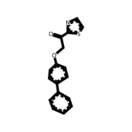 O=C(COc1ccc(-c2ccccc2)cc1)c1nccs1